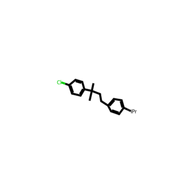 CC(C)c1ccc(CCC(C)(C)c2ccc(Cl)cc2)cc1